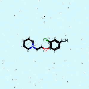 N#Cc1ccc(OCCN2CCCCC2)c(Cl)c1